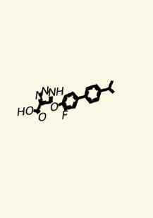 CC(C)c1ccc(-c2ccc(Oc3[nH]nnc3C(=O)O)c(F)c2)cc1